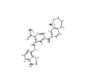 NC(=O)c1cnc(Nc2ccc3c(c2)NCCCO3)nc1NCc1ccnc2[nH]ccc12